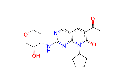 CC(=O)c1c(C)c2cnc(N[C@H]3CCOC[C@H]3O)nc2n(C2CCCC2)c1=O